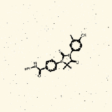 CCCNC(=O)c1ccc(N2C(=S)N(c3ccc(C#N)c(C)c3)C(=O)C2(C)C)cc1